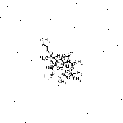 CCCCOP(C)(=O)O[C@]1(C(=O)OC)C[C@H]2OC(=O)N(C(C)=O)[C@H]2C([C@@H]2OC(C)(C)O[C@@H]2CC)O1